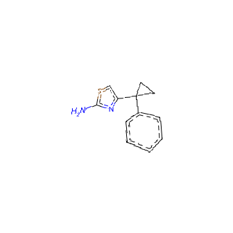 Nc1nc(C2(c3ccccc3)CC2)cs1